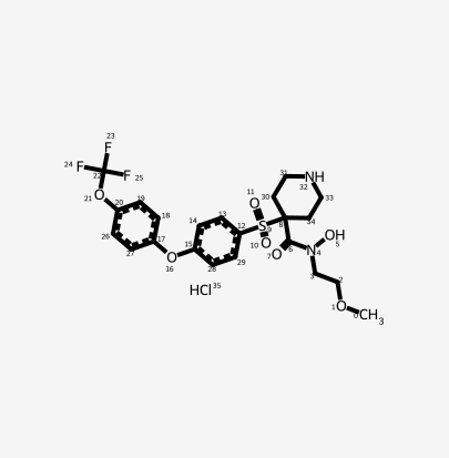 COCCN(O)C(=O)C1(S(=O)(=O)c2ccc(Oc3ccc(OC(F)(F)F)cc3)cc2)CCNCC1.Cl